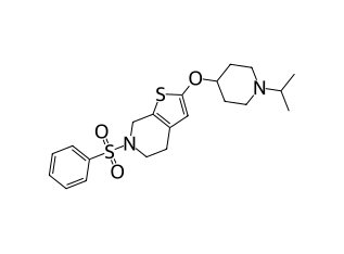 CC(C)N1CCC(Oc2cc3c(s2)CN(S(=O)(=O)c2ccccc2)CC3)CC1